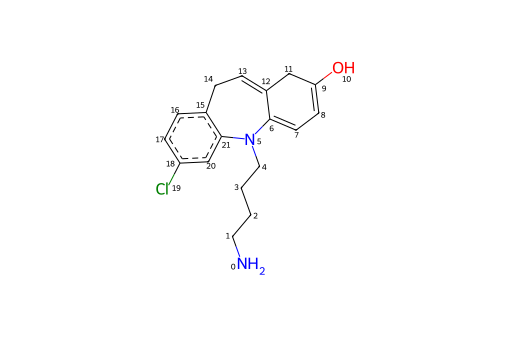 NCCCCN1C2=CC=C(O)CC2=CCc2ccc(Cl)cc21